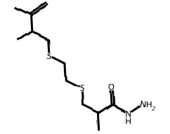 C=C(C)C(C)CSCCSCC(C)C(=O)NN